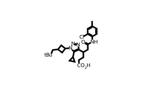 Cc1ccc(NC(=O)CC(CCC(=O)O)c2nnn(C3CC(CC(C)(C)C)C3)c2C2CC2)c(Cl)c1